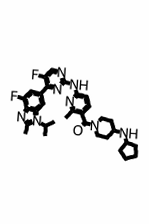 Cc1nc(Nc2ncc(F)c(-c3cc(F)c4nc(C)n(C(C)C)c4c3)n2)ccc1C(=O)N1CCC(NC2CCCC2)CC1